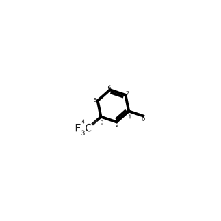 CC1=CC(C(F)(F)F)CC=C1